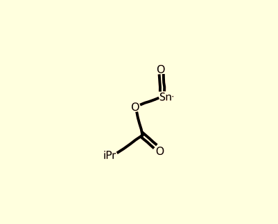 CC(C)C(=O)[O][Sn]=[O]